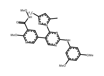 CONC(=O)c1cc(-c2cnc(Nc3cc(OC)cc(OC)c3)nc2-n2nc(C(F)(F)F)cc2C)cnc1OC